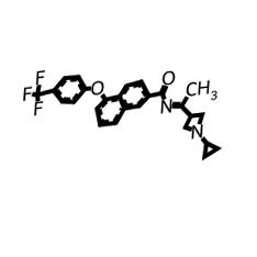 C/C(=N\C(=O)c1ccc2c(Oc3ccc(C(F)(F)F)cc3)cccc2c1)C1CN(C2CC2)C1